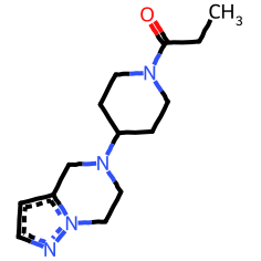 CCC(=O)N1CCC(N2CCn3nccc3C2)CC1